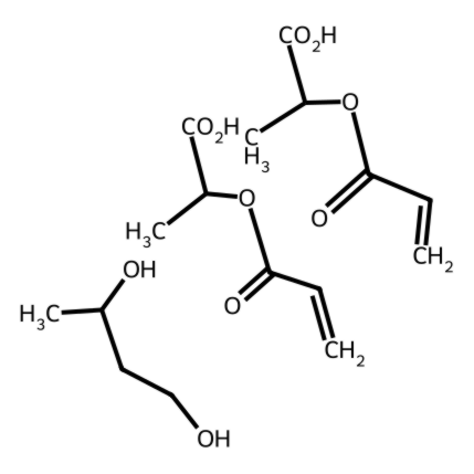 C=CC(=O)OC(C)C(=O)O.C=CC(=O)OC(C)C(=O)O.CC(O)CCO